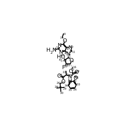 CCOc1nc(N)nc2c1ncn2[C@@H]1O[C@H](COP(=O)(NC(C)C(=O)OCC(C)(C)C)Oc2ccccc2)[C@@H](F)[C@@]1(C)O